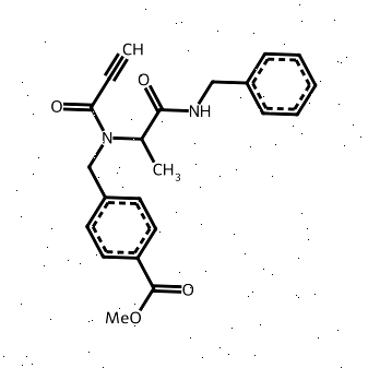 C#CC(=O)N(Cc1ccc(C(=O)OC)cc1)C(C)C(=O)NCc1ccccc1